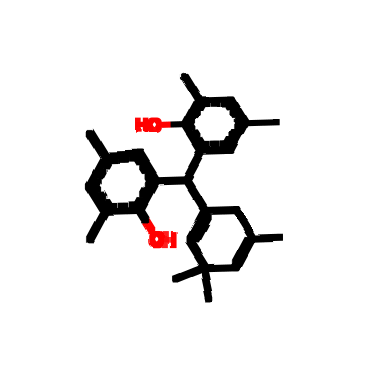 CC1=CC(C)(C)C=C(C(c2cc(C)cc(C)c2O)c2cc(C)cc(C)c2O)C1